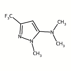 CN(C)c1cc(C(F)(F)F)nn1C